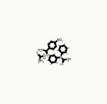 NC(=O)c1ccc([N+](=O)[O-])cc1.NC(O)=S.OC(=S)N(c1ccccc1)c1ccccc1